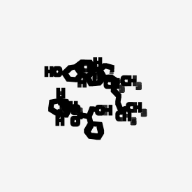 CC(C)CCC[C@@H](C)[C@H]1CC[C@H]2[C@@H]3CC=C4C[C@@H](O)CC[C@]4(C)[C@H]3CC[C@]12C.CN1[C@@H]2CC[C@H]1C[C@@H](OC(=O)C(CO)c1ccccc1)C2